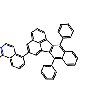 Cc1nccc2c(-c3cc4c5c(cccc5c3)-c3c-4c(-c4ccccc4)c4ccccc4c3-c3ccccc3)cccc12